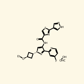 CCO[C@H]1C[C@H](n2cc(NC(=O)c3csc(-c4cn[nH]c4)n3)c(-c3cc(F)ccn3)n2)C1.O=CO